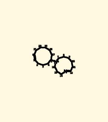 C1=C\CCCC(N2CCCCC/C=N/CCC2)CCCCC/1